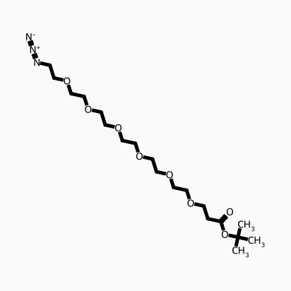 CC(C)(C)OC(=O)CCOCCOCCOCCOCCOCCOCCN=[N+]=[N-]